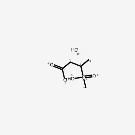 CC(CC(=O)Cl)P(C)(=O)O.Cl